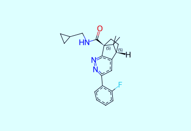 CC1(C)[C@@H]2CC[C@@]1(C(=O)NCC1CC1)c1nnc(-c3ccccc3F)cc12